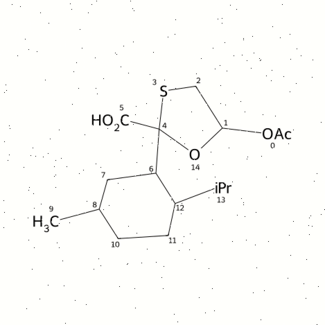 CC(=O)OC1CSC(C(=O)O)(C2CC(C)CCC2C(C)C)O1